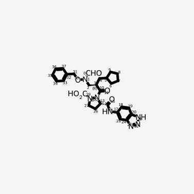 O=CN(C[C@@H](CC1CCCC1)C(=O)N1[C@H](C(=O)Nc2ccc3[nH]nnc3c2)CCN1C(=O)O)OCc1ccccc1